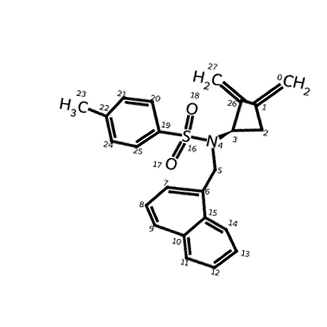 C=C1C[C@@H](N(Cc2cccc3ccccc23)S(=O)(=O)c2ccc(C)cc2)C1=C